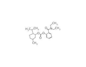 CCN(CC)C(=O)c1ccccc1OC(=O)OC1CC(C)CCC1C(C)C